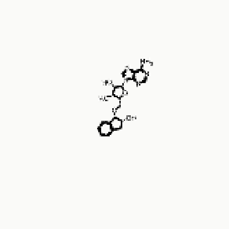 Nc1ncnc2c1ncn2[C@@H]1O[C@H](CO[C@@H]2c3ccccc3C[C@H]2O)[C@@H](O)[C@H]1O